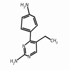 CCc1cnc(N)nc1-c1ccc(N)cc1